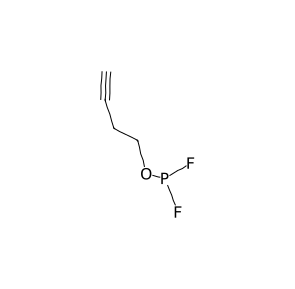 C#CCCOP(F)F